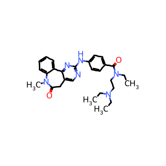 CCN(CC)CCN(CC)C(=O)c1ccc(Nc2ncc3c(n2)-c2ccccc2N(C)C(=O)C3)cc1